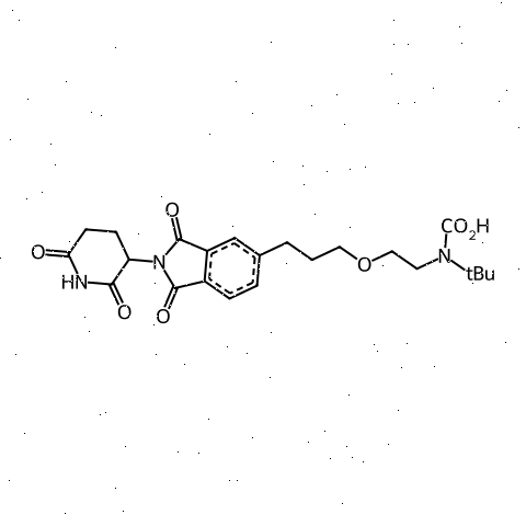 CC(C)(C)N(CCOCCCc1ccc2c(c1)C(=O)N(C1CCC(=O)NC1=O)C2=O)C(=O)O